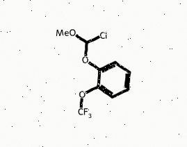 COC(Cl)Oc1ccccc1OC(F)(F)F